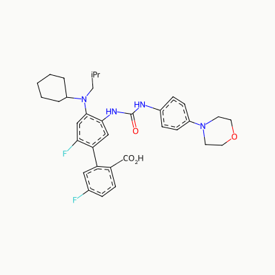 CC(C)CN(c1cc(F)c(-c2cc(F)ccc2C(=O)O)cc1NC(=O)Nc1ccc(N2CCOCC2)cc1)C1CCCCC1